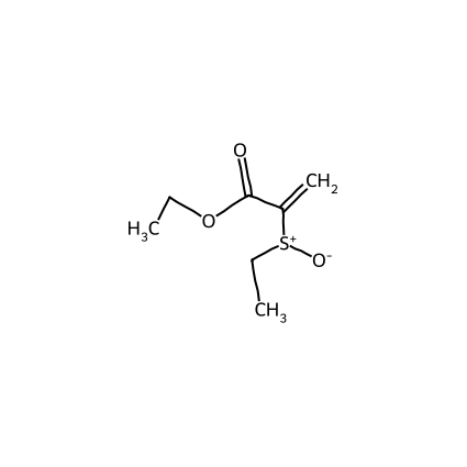 C=C(C(=O)OCC)[S+]([O-])CC